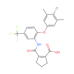 Cc1cc(Oc2ccc(C(F)(F)F)cc2NC(=O)C2=C(C(=O)O)CCC2)cc(C)c1Cl